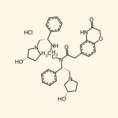 CN(C(=O)Cc1ccc2c(c1)NC(=O)CO2)[C@H](CN1CC[C@H](O)C1)c1ccccc1.CN[C@H](CN1CC[C@H](O)C1)c1ccccc1.Cl